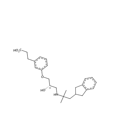 CC(C)(CC1Cc2ccccc2C1)NC[C@H](O)COc1cccc(CCC(=O)O)c1